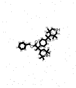 CC1(C)CC(C(C)(C(=O)OCc2ccccc2)C2CCC(C(C)(C)C3C(C)(C)CNCC3(C)C)CC2)CC(C)(C)N1